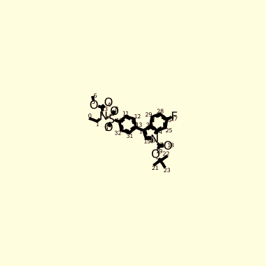 CCN(C(=O)OC)S(=O)(=O)c1ccc(-c2cn(C(=O)OC(C)(C)C)c3cc(F)ccc23)cc1